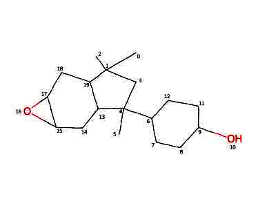 CC1(C)CC(C)(C2CCC(O)CC2)C2CC3OC3CC21